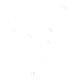 CCOn1c(S(C)(=O)=O)nn(C(=O)Cl)c1=O